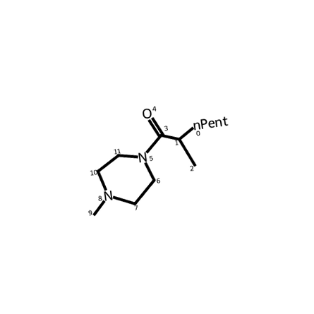 CCCCCC(C)C(=O)N1CCN(C)CC1